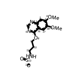 COc1cc2ncnc(OCCCN[SH](=O)=O)c2cc1OC